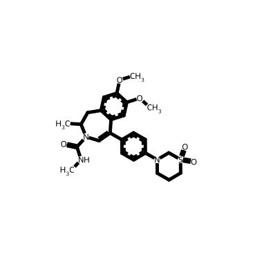 CNC(=O)N1C=C(c2ccc(N3CCCS(=O)(=O)C3)cc2)c2cc(OC)c(OC)cc2CC1C